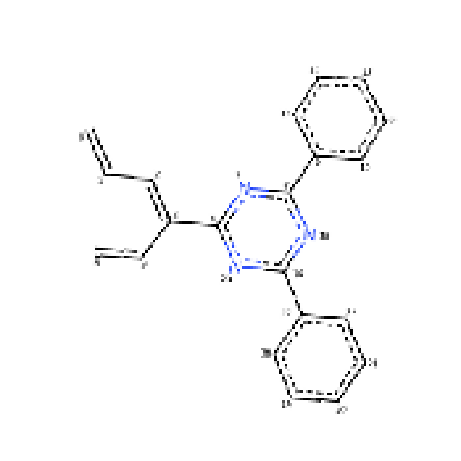 C=C/C=C(\C=C)c1nc(-c2ccccc2)nc(-c2ccccc2)n1